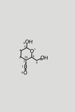 O=B[C@H]1CCC(O)OC1CO